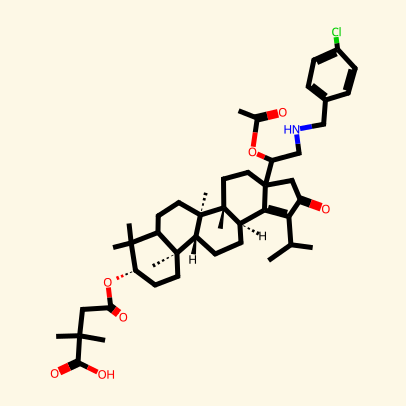 CC(=O)OC(CNCc1ccc(Cl)cc1)C12CC[C@]3(C)[C@H](CC[C@@H]4[C@@]5(C)CC[C@H](OC(=O)CC(C)(C)C(=O)O)C(C)(C)C5CC[C@]43C)C1=C(C(C)C)C(=O)C2